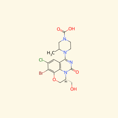 CC1CN(C(=O)O)CCN1c1nc(=O)n2c3c(c(Br)c(Cl)cc13)OC[C@H]2CO